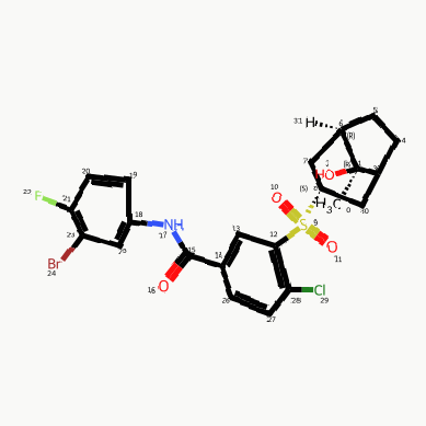 C[C@@]1(O)C2CC[C@@H]1C[C@@H](S(=O)(=O)c1cc(C(=O)Nc3ccc(F)c(Br)c3)ccc1Cl)C2